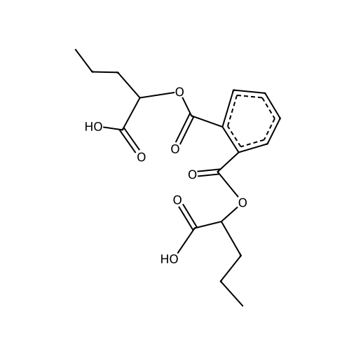 CCCC(OC(=O)c1ccccc1C(=O)OC(CCC)C(=O)O)C(=O)O